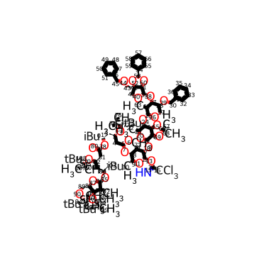 CC[C@H](C)[C@H](C[C@@H](CC(=O)O[C@H]1C(C)O[C@H](OC(=N)C(Cl)(Cl)Cl)C(O[C@@H]2OC(C)[C@H](O[C@@H]3OC[C@@H](OCc4ccccc4)C(O[C@@H]4OC[C@@]5(COCc6ccccc6)O[C@@H](c6ccccc6)OC45)C3C)C3OC(C)(C)OC32)C1C)O[Si](C)(C)C(C)(C)C)OC(=O)C[C@H](C[C@H](O[C@@H]1O[C@@H](CO[Si](C)(C)C(C)(C)C)C(O[Si](C)(C)C(C)(C)C)C1C)[C@@H](C)CC)O[Si](C)(C)C(C)(C)C